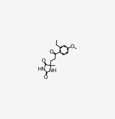 CCc1cc(OC)ccc1C(=O)CCC1(C)NC(=O)NC1=O